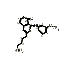 NCCCCc1cc2c(c(Nc3cccc(OC(F)(F)F)c3)n1)C(=O)[N]C=C2